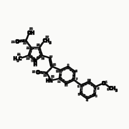 COc1cccc(-c2ccc3c(c2)NC(=O)C3=Cc2[nH]c(C)c(C(=O)O)c2C)c1